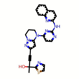 CC(O)(C#Cc1cc2n(n1)CCCN2c1ccnc(Nc2ccc3ccccc3n2)n1)c1nccs1